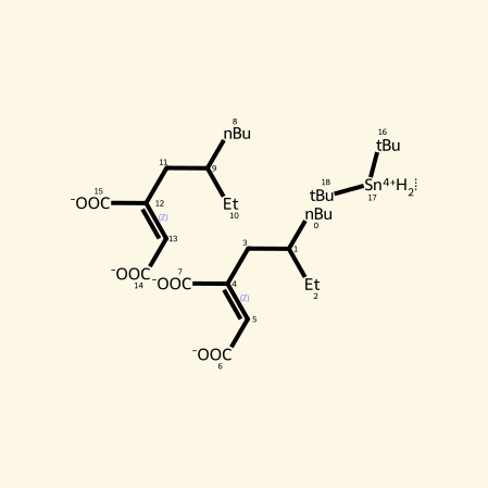 CCCCC(CC)C/C(=C/C(=O)[O-])C(=O)[O-].CCCCC(CC)C/C(=C/C(=O)[O-])C(=O)[O-].C[C](C)(C)[SnH2+4][C](C)(C)C